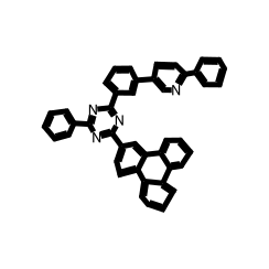 c1ccc(-c2ccc(-c3cccc(-c4nc(-c5ccccc5)nc(-c5ccc6c7ccccc7c7ccccc7c6c5)n4)c3)cn2)cc1